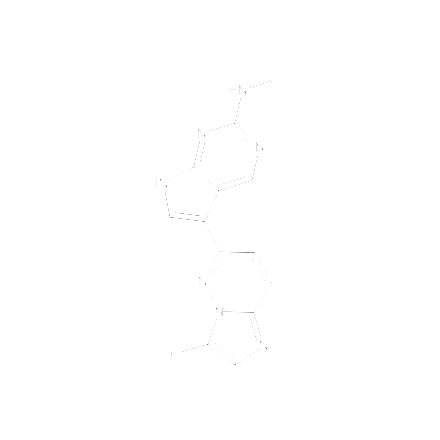 Cc1cnc2ccc(-c3c[nH]c4nc(NC(C)C)ncc34)nn12